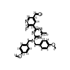 COc1ccc(CN(Cc2ccc(OC)cc2)c2nc(C)nc(-c3cc(C=O)cnc3F)n2)cc1